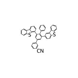 N#Cc1cccc(-c2cc(-c3ccc4sc5ccccc5c4c3)c(-c3ccccc3)c(-c3cccc4c3sc3ccccc34)c2)c1